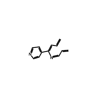 C=C/C=N\C(=C/C=C)c1ccncc1